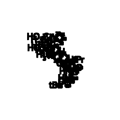 CC(C)C1=C2[C@H]3CC[C@@H]4[C@]5(C)CC[C@H]([C@@]6(C(=O)O)C[C@@](Cc7ccccc7)(C(=O)O)C6(C)C)C(C)(C)[C@H]5CC[C@@]4(C)[C@]3(C)CC[C@@]2(NC(=O)C2(NC(=O)OC(C)(C)C)CC2)CC1=O